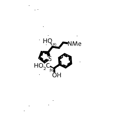 CNCC[C@@H](O)c1cccs1.O=C(O)[C@H](O)c1ccccc1